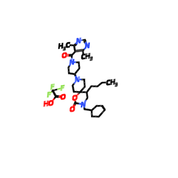 CCCCC1CN(CC2CCCCC2)C(=O)OC12CCN(C1CCN(C(=O)c3c(C)ncnc3C)CC1)CC2.O=C(O)C(F)(F)F